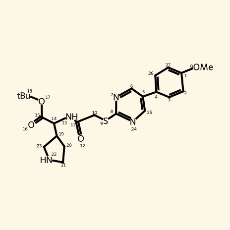 COc1ccc(-c2cnc(SCC(=O)NC(C(=O)OC(C)(C)C)C3CCNC3)nc2)cc1